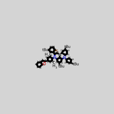 Cc1cc(-c2cc3ccccc3o2)cc(C)c1N1c2cc(C(C)(C)C)cc3c2B(c2cc(C(C)(C)C)ccc2N3c2ccc(C(C)(C)C)cc2)c2sc3ccc(C(C)(C)C)cc3c21